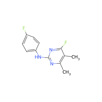 Cc1nc(Nc2ccc(F)cc2)nc(F)c1C